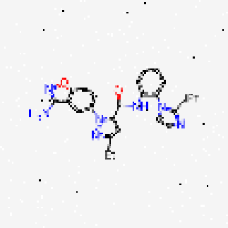 CCc1cc(C(=O)Nc2ccccc2-n2ccnc2C(C)C)n(-c2ccc3onc(N)c3c2)n1